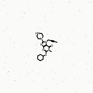 CC#CCn1c(N2CCNCC2)nc2nc(SC3CCCCC3)n(C)c(=O)c21